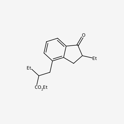 CCOC(=O)C(CC)Cc1cccc2c1CC(CC)C2=O